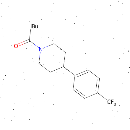 CCC(C)C(=O)N1CCC(c2ccc(C(F)(F)F)cc2)CC1